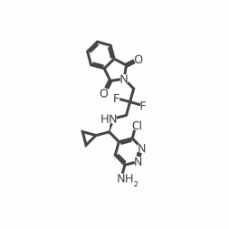 Nc1cc([C@H](NCC(F)(F)CN2C(=O)c3ccccc3C2=O)C2CC2)c(Cl)nn1